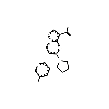 O=C(O)c1cnn2ccc(N3CCC[C@@H]3c3cncc(F)c3)nc12